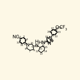 N#Cc1ccc(N2CCC[C@H](N[C@@H]3CCCC[C@H]3Nc3cn(-c4ccc(OC(F)(F)F)cc4)nn3)C2)cc1